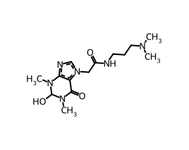 CN(C)CCCNC(=O)Cn1cnc2c1C(=O)N(C)C(O)N2C